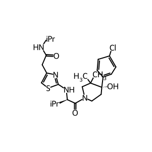 CC(C)NC(=O)Cc1csc(N[C@@H](C(=O)N2CC[C@](O)(c3ccc(Cl)cc3)C(C)(C)C2)C(C)C)n1